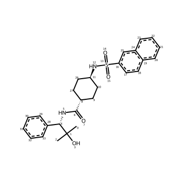 CC(C)(O)[C@@H](NC(=O)[C@H]1CC[C@H](NS(=O)(=O)c2ccc3ccccc3c2)CC1)c1ccccc1